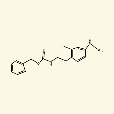 NNc1ccc(CCNC(=O)OCc2ccccc2)c(F)c1